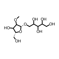 COC1C(O)[C@@H](CO)O[C@H]1OCC(O)C(O)C(O)CO